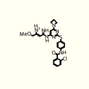 COC/C(N)=C/C(=N)Nc1cc(N2CCC2)nc(Sc2ccc(NC(=O)c3ccccc3Cl)cc2)n1